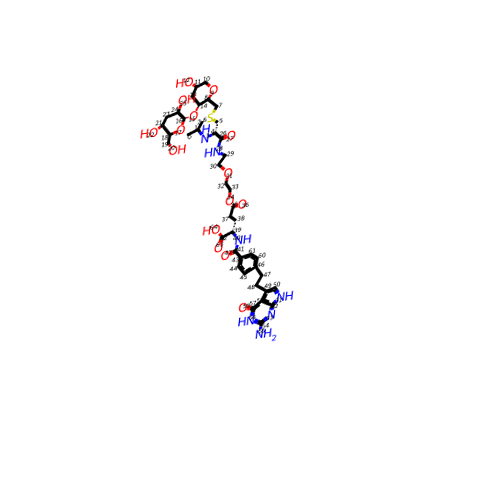 CC(C)N[C@H](CSCC1OCC(O)C[C@@H]1O[C@@H]1OC(CO)C(O)CC1O)C(=O)NCCOCCOC(=O)CC[C@H](NC(=O)c1ccc(CCc2c[nH]c3nc(N)[nH]c(=O)c23)cc1)C(=O)O